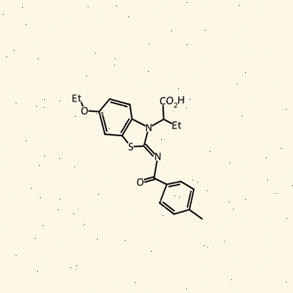 CCOc1ccc2c(c1)sc(=NC(=O)c1ccc(C)cc1)n2C(CC)C(=O)O